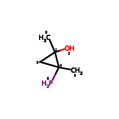 CC1(O)CC1(C)P